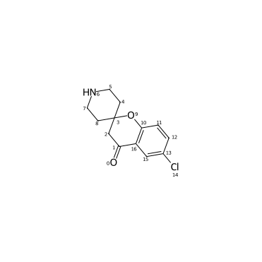 O=C1CC2(CCNCC2)Oc2ccc(Cl)cc21